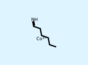 CCCCCC=N.[Co+3]